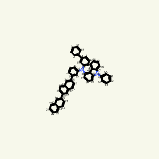 c1ccc(-c2cccc(N(c3cccc(-c4ccc5cc(-c6ccc7ccccc7c6)ccc5c4)c3)c3cccc4c3c3ccccc3n4-c3ccccc3)c2)cc1